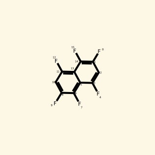 Fc1[c]c(F)c2c(F)c(F)[c]c(F)c2c1F